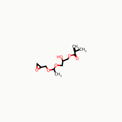 C=C(C)C(=O)OCC(O)COC(C)OCC1CO1